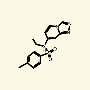 CC[SH](c1ccn2cnnc2c1)S(=O)(=O)c1ccc(C)cc1